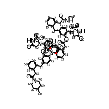 CCNC(=O)Cc1ccccc1Cc1ccc(N2CC(=O)NS2(=O)=O)c(OC(=O)Cc2ccccc2Cc2ccc(N3CC(=O)NS3(=O)=O)c(Oc3cc(Cc4ccccc4CC(=O)N4CCC(C)CC4)ccc3N3CC(=O)NS3(=O)=O)c2)c1